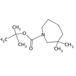 CC1(C)CCCCN(C(=O)OC(C)(C)C)C1